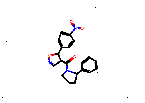 O=C(C1C=NOC1c1ccc([N+](=O)[O-])cc1)N1CCCC1c1ccccc1